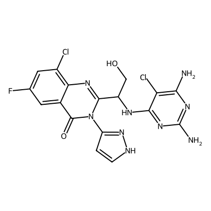 Nc1nc(N)c(Cl)c(NC(CO)c2nc3c(Cl)cc(F)cc3c(=O)n2-c2cc[nH]n2)n1